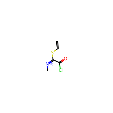 C=CS/C(=N/C)C(=O)Cl